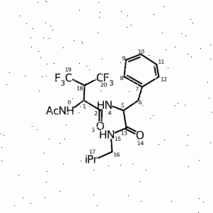 CC(=O)NC(C(=O)NC(Cc1ccccc1)C(=O)NCC(C)C)C(C(F)(F)F)C(F)(F)F